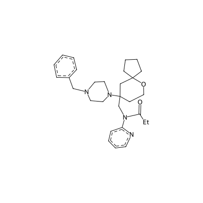 CCC(=O)N(CC1(N2CCN(Cc3ccccc3)CC2)CCOC2(CCCC2)C1)c1ccccn1